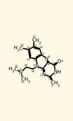 C=c1nc2c(c(=O)[nH]1)=Nc1cc(C)c(C)cc1N2CCN(C)C